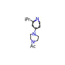 CC(=O)N1CCN(c2ccnc(C(C)C)c2)CC1